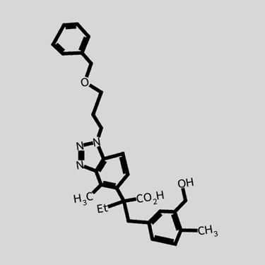 CCC(Cc1ccc(C)c(CO)c1)(C(=O)O)c1ccc2c(nnn2CCCOCc2ccccc2)c1C